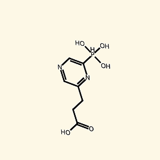 O=C(O)CCc1cncc([PH](O)(O)O)n1